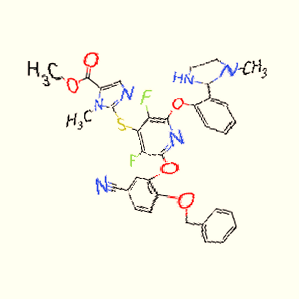 COC(=O)c1cnc(Sc2c(F)c(Oc3cc(C#N)ccc3OCc3ccccc3)nc(Oc3ccccc3C3NCCN3C)c2F)n1C